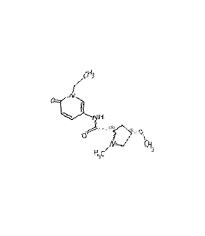 CCn1cc(NC(=O)[C@@H]2C[C@H](OC)CN2C)ccc1=O